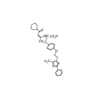 CC(=CC(=O)C1CCCCC1)N[C@@H](Cc1ccc(OCCc2nc(-c3ccccc3)oc2C)cc1)C(=O)O